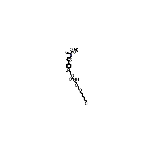 CN(CCOC(=O)NCCOCCOCCCCCCCl)c1ccc(-c2ccc(/C=C(\C#N)C(=O)OC(C)(C)C)s2)cc1